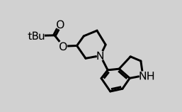 CC(C)(C)C(=O)OC1CCCN(c2cccc3c2CCN3)C1